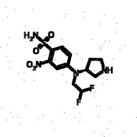 NS(=O)(=O)c1ccc(N(CC(F)F)[C@H]2CCNC2)cc1[N+](=O)[O-]